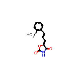 O=C1NC(=O)C(=CC=Cc2ccccc2C(=O)O)O1